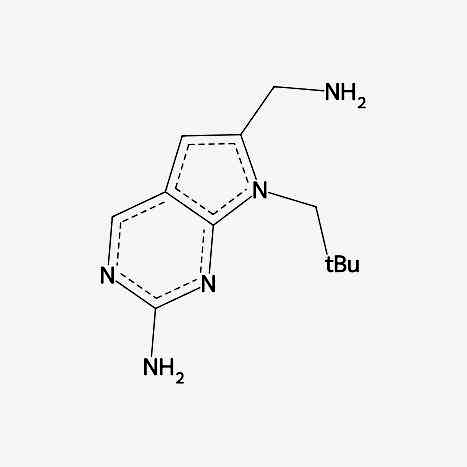 CC(C)(C)Cn1c(CN)cc2cnc(N)nc21